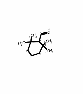 CC1(C)CCCC(C)(C)C1C=O